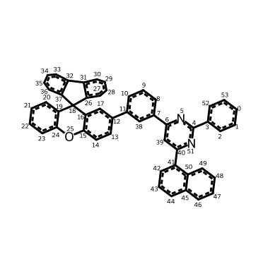 c1ccc(-c2nc(-c3cccc(-c4ccc5c(c4)C4(c6ccccc6O5)c5ccccc5-c5ccccc54)c3)cc(-c3cccc4ccccc34)n2)cc1